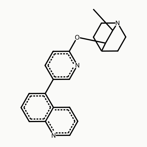 CC1C(Oc2ccc(-c3cccc4ncccc34)cn2)C2CCN1CC2